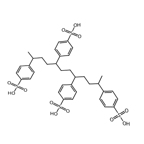 CC(CCC(CCC(CCC(C)c1ccc(S(=O)(=O)O)cc1)c1ccc(S(=O)(=O)O)cc1)c1ccc(S(=O)(=O)O)cc1)c1ccc(S(=O)(=O)O)cc1